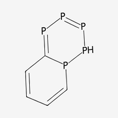 C1=CC2=PP=PPP2C=C1